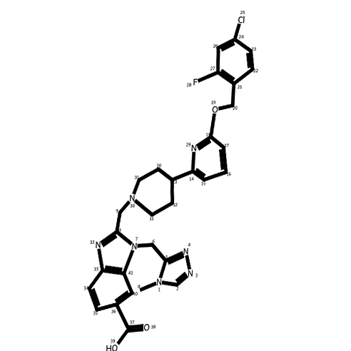 Cn1cnnc1Cn1c(CN2CCC(c3cccc(OCc4ccc(Cl)cc4F)n3)CC2)nc2ccc(C(=O)O)cc21